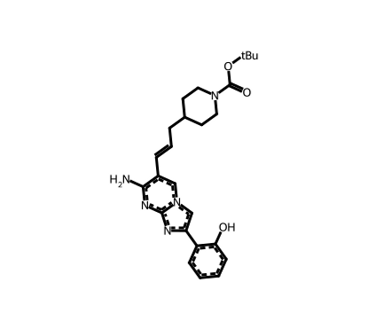 CC(C)(C)OC(=O)N1CCC(CC=Cc2cn3cc(-c4ccccc4O)nc3nc2N)CC1